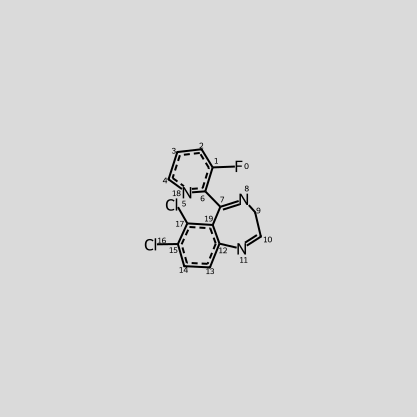 Fc1cccnc1C1=NCC=Nc2ccc(Cl)c(Cl)c21